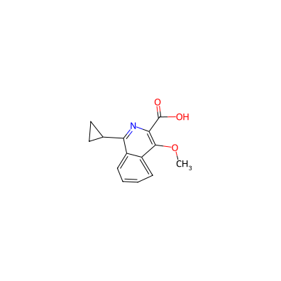 COc1c(C(=O)O)nc(C2CC2)c2ccccc12